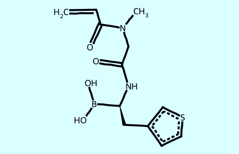 C=CC(=O)N(C)CC(=O)N[C@@H](Cc1ccsc1)B(O)O